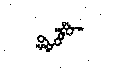 C=C(Nc1cc2cc(-c3cnn(C)c3CN3CCCCC3)ccc2cn1)C1CCCN(CC(C)C)C1